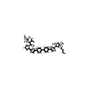 CCCCOC1(OC)CN[C@H](c2ncc(-c3ccc(-c4ccc(-c5cnc(C6CCCN6C(=O)[C@@H](NC(=O)OC)C(C)C)[nH]5)cc4)cc3)[nH]2)C1